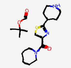 CC(C)(C)OC=O.O=C(c1csc(C2CCNCC2)n1)N1CCCCC1